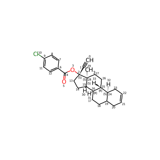 C#C[C@]1(OC(=O)c2ccc(Cl)cc2)CC[C@H]2[C@@H]3CCC4CC=CC[C@@H]4[C@H]3CC[C@@]21C